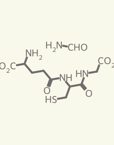 NC(CCC(=O)NC(CS)C(=O)NCC(=O)O)C(=O)O.NC=O